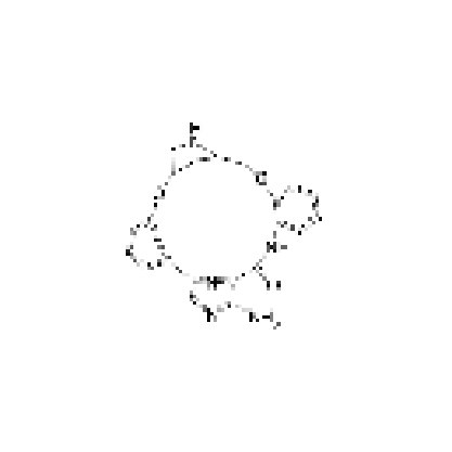 Nc1ncc2nc1C(=O)Nc1cnccc1OCC1CC(CN1)Oc1cccc-2c1